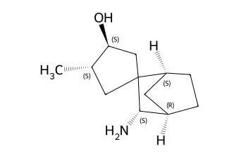 C[C@H]1CC2(C[C@@H]1O)[C@H]1CC[C@H](C1)[C@@H]2N